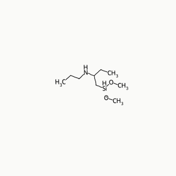 CCCNC(CC)C[SiH](OC)OC